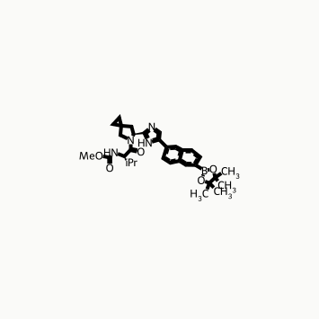 COC(=O)N[C@H](C(=O)N1CC2(CC2)C[C@H]1c1ncc(-c2ccc3cc(B4OC(C)(C)C(C)(C)O4)ccc3c2)[nH]1)C(C)C